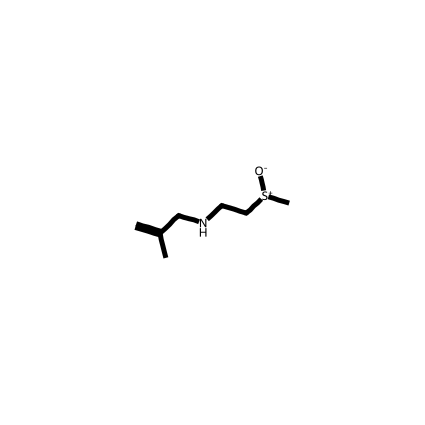 C=C(C)CNCC[S+](C)[O-]